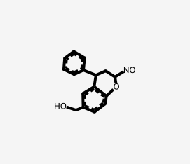 O=NC1CC(c2ccccc2)c2cc(CO)ccc2O1